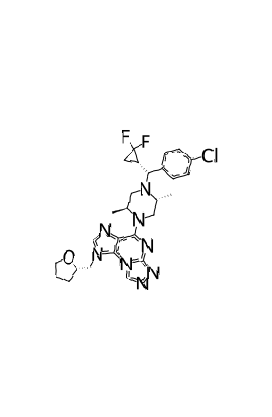 C[C@@H]1CN(c2nc3nncn3c3c2ncn3C[C@@H]2CCCO2)[C@@H](C)CN1C(c1ccc(Cl)cc1)[C@@H]1CC1(F)F